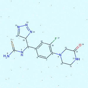 NC(=S)NC(c1ccc(N2CCNC(=O)C2)c(F)c1)C1C=NN=N1